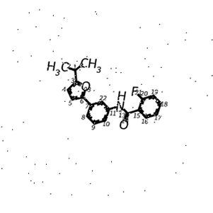 CC(C)c1ccc(-c2cccc(NC(=O)c3ccccc3F)c2)o1